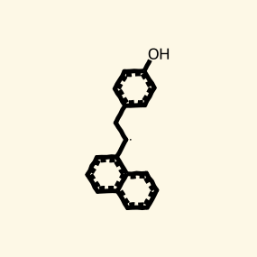 Oc1ccc(C[CH]c2cccc3ccccc23)cc1